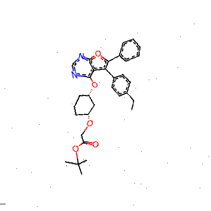 CCc1ccc(-c2c(-c3ccccc3)oc3ncnc(O[C@H]4CCC[C@@H](OCC(=O)OC(C)(C)C)C4)c23)cc1